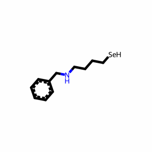 [SeH]CCCCNCc1ccccc1